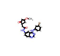 COC1=CC(=O)C(CC(=O)Nc2ccc3ncnc(Nc4cccc(Br)c4)c3c2)C1